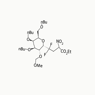 CCCCOC[C@H]1O[C@H](C(F)(F)CC(C(=O)OCC)[N+](=O)[O-])[C@H](OCOC)[C@@H](OCCCC)[C@H]1OCCCC